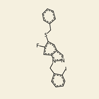 Fc1cc2c(cnn2Cc2ccccc2I)cc1SCc1ccccc1